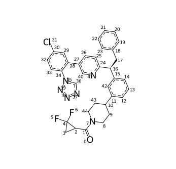 O=C(C1CC1(F)F)N1CCC(c2cccc([C@H](Cc3ccccc3)c3ccc(-c4cc(Cl)ccc4-n4cnnn4)cn3)c2)CC1